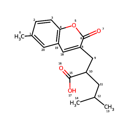 Cc1ccc2oc(=O)c(CC(CC(C)C)C(=O)O)cc2c1